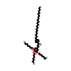 CCCCCCCCCCCCCCCCCCCCCCc1ccc(C(=S)C=Cc2cc(OCCCCCCC)c(OCCCCCCC)c(OCCCCCCC)c2)cc1